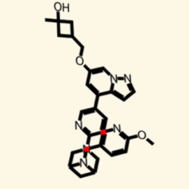 COc1ccc(CN2C3CC2CN(c2ccc(-c4cc(OCC5CC(C)(O)C5)cn5nccc45)cn2)C3)cn1